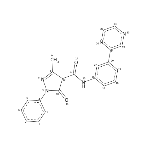 CC1=NN(c2ccccc2)C(=O)C1C(=O)Nc1cccc(-c2cnccn2)c1